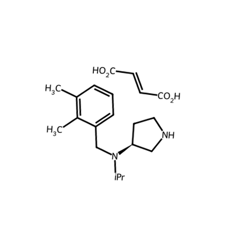 Cc1cccc(CN(C(C)C)[C@H]2CCNC2)c1C.O=C(O)C=CC(=O)O